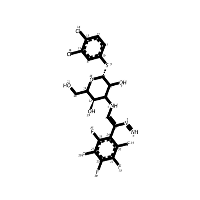 N=N/C(=C\NC1C(O)[C@@H](Sc2ccc(Cl)c(Cl)c2)OC(CO)[C@@H]1O)c1c(F)c(F)c(F)c(F)c1F